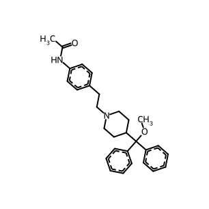 COC(c1ccccc1)(c1ccccc1)C1CCN(CCc2ccc(NC(C)=O)cc2)CC1